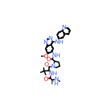 CN[C@@H](C)C(=O)N[C@H](C(=O)N1CCCC1C(=O)Nc1cc2c(Nc3ccc4ncccc4c3)ncnc2cc1OC)C(C)(C)C